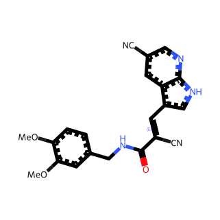 COc1ccc(CNC(=O)/C(C#N)=C/c2c[nH]c3ncc(C#N)cc23)cc1OC